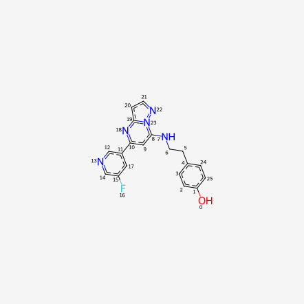 Oc1ccc(CCNc2cc(-c3cncc(F)c3)nc3ccnn23)cc1